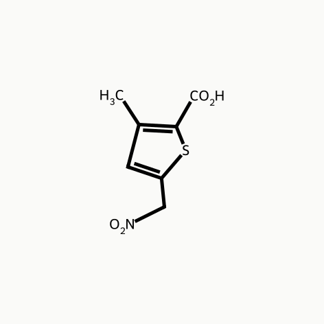 Cc1cc(C[N+](=O)[O-])sc1C(=O)O